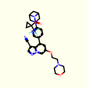 N#Cc1cnn2cc(OCCN3CCOCC3)cc(-c3ccc(N4CC5CC(C4)N5C(=O)C4(C(F)(F)F)CC4)nc3)c12